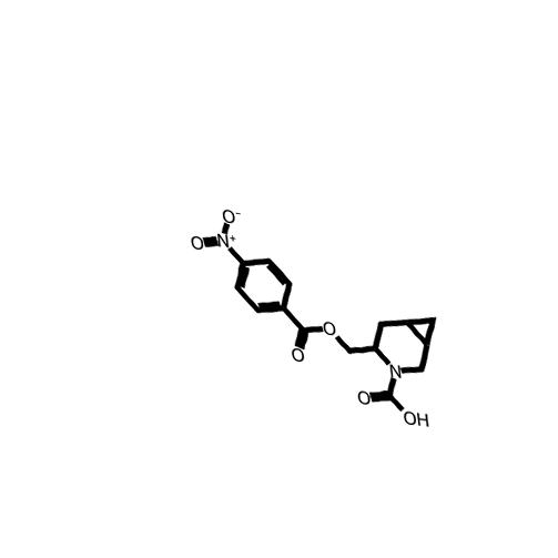 O=C(OCC1CC2CC2CN1C(=O)O)c1ccc([N+](=O)[O-])cc1